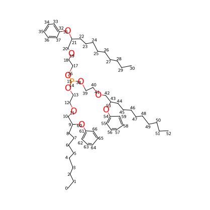 CCCCCCCCCC(COCCOP(OCCOCC(CCCCCCCCC)Oc1ccccc1)OCCOCC(CCCCCCCCC)Oc1ccccc1)Oc1ccccc1